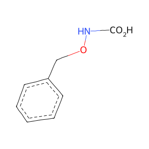 O=C(O)NOCc1ccccc1